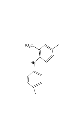 Cc1ccc(Nc2ccc(C)cc2C(=O)O)cc1